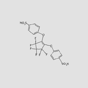 O=S(=O)(O)c1ccc(OC2=C(Oc3ccc(S(=O)(=O)O)cc3)C(F)(F)C(F)(F)C2(F)F)cc1